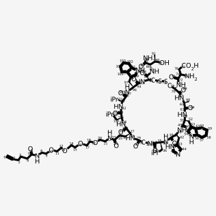 C#CCCCC(=O)NCCOCCOCCOCCOCCNC(=O)CC[C@@H]1NC(=O)CNC(=O)[C@H](CC(C)C)NC(=O)[C@H](Cc2cnc[nH]2)NC(=O)[C@H](Cc2c[nH]c3ccccc23)NC(=O)[C@H](C)NC(=O)[C@@H](NC(=O)C(N)CC(=O)O)CSSC[C@@H](C(=O)N[C@H](C(N)=O)[C@@H](C)O)NC(=O)[C@H](Cc2c[nH]c3ccccc23)NC(=O)[C@H](C(C)C)NC(=O)[C@H](CC(C)C)NC1=O